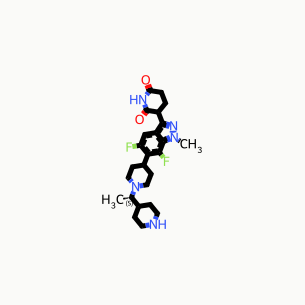 C[C@@H](C1CCNCC1)N1CCC(c2c(F)cc3c(C4CCC(=O)NC4=O)nn(C)c3c2F)CC1